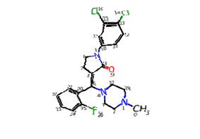 CN1CCN(C(=C2CCN(c3ccc(Cl)c(Cl)c3)C2=O)c2ccccc2F)CC1